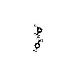 COc1ccc(C(=O)OOC(=O)c2cccc(Br)c2)cc1